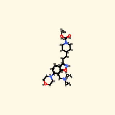 CN(C)Cc1c(N2CCOCC2)ccc2c(CCC3CCN(C(=O)OC(C)(C)C)CC3)noc12